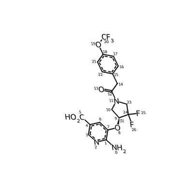 Nc1ncc(C(=O)O)cc1O[C@H]1CN(C(=O)Cc2ccc(OC(F)(F)F)cc2)CC1(F)F